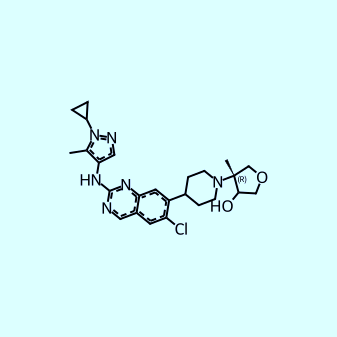 Cc1c(Nc2ncc3cc(Cl)c(C4CCN([C@]5(C)COCC5O)CC4)cc3n2)cnn1C1CC1